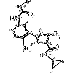 Bc1cnc(NC(=O)NCC)cc1-c1nc(C(F)(F)F)c(C(=O)NC2CC2)s1